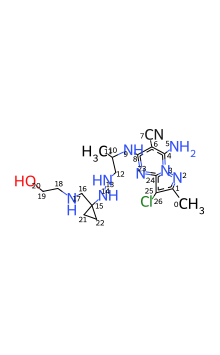 Cc1nn2c(N)c(C#N)c(NC(C)CNNC3(CNCCO)CC3)nc2c1Cl